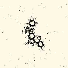 Cn1nc(-c2ccccc2Cl)c2ccc(NS(=O)(=O)c3ccccc3)cc21